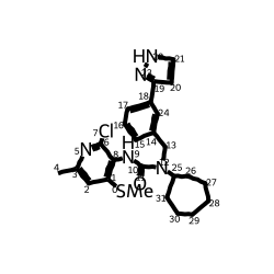 CSc1cc(C)nc(Cl)c1NC(=O)N(Cc1cccc(-c2cc[nH]n2)c1)C1CCCCCC1